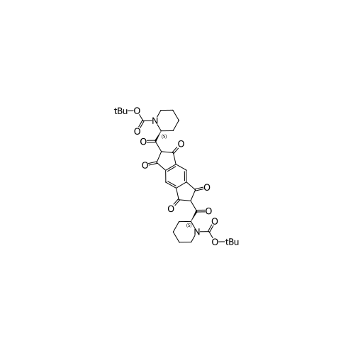 CC(C)(C)OC(=O)N1CCCC[C@H]1C(=O)C1C(=O)c2cc3c(cc2C1=O)C(=O)C(C(=O)[C@@H]1CCCCN1C(=O)OC(C)(C)C)C3=O